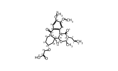 C=CCOC(=O)N1c2cc(OC)c(OC)cc2C(=O)N2CC[C@@H](OCC(=O)O)C[C@H]2C1OCC